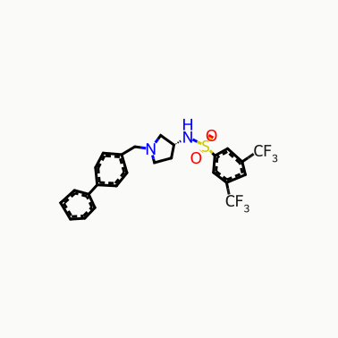 O=S(=O)(N[C@@H]1CCN(Cc2ccc(-c3ccccc3)cc2)C1)c1cc(C(F)(F)F)cc(C(F)(F)F)c1